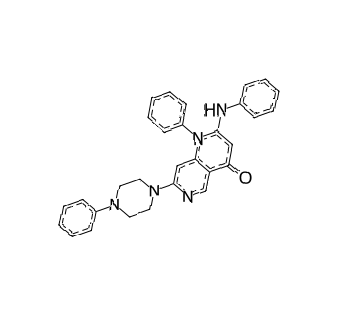 O=c1cc(Nc2ccccc2)n(-c2ccccc2)c2cc(N3CCN(c4ccccc4)CC3)ncc12